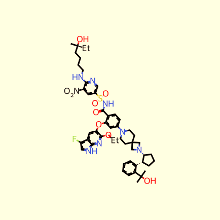 CCOc1nc2[nH]cc(F)c2cc1Oc1cc(N2CCC3(CC2)CN([C@@H]2CCC[C@@H]2c2ccccc2C(C)(C)O)C3)ccc1C(=O)NS(=O)(=O)c1cnc(NCCCC[C@](C)(O)CC)c([N+](=O)[O-])c1